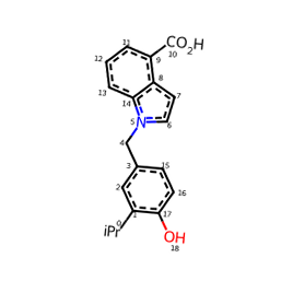 CC(C)c1cc(Cn2ccc3c(C(=O)O)cccc32)ccc1O